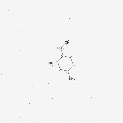 Br.NC1CCC(NO)CC1